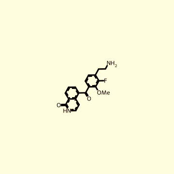 COc1c(C(=O)c2cccc3c(=O)[nH]ccc23)ccc(CCN)c1F